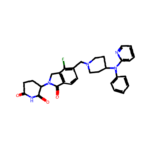 O=C1CCC(N2Cc3c(ccc(CN4CCC(N(c5ccccc5)c5ccccn5)CC4)c3F)C2=O)C(=O)N1